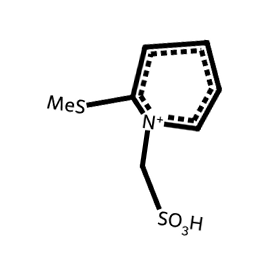 CSc1cccc[n+]1CS(=O)(=O)O